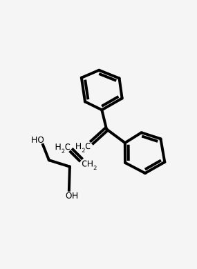 C=C.C=C(c1ccccc1)c1ccccc1.OCCO